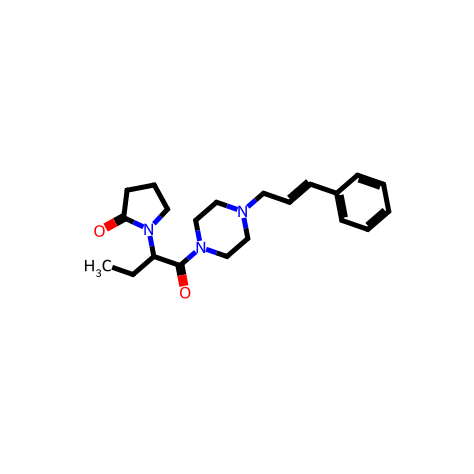 CCC(C(=O)N1CCN(C/C=C/c2ccccc2)CC1)N1CCCC1=O